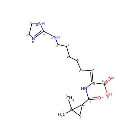 CC1(C)CC1C(=O)NC(=CCCCCCNC1=NCCN1)C(=O)O